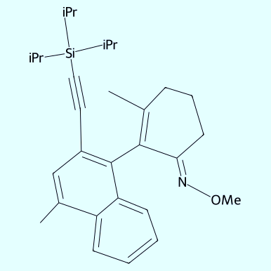 CO/N=C1\CCCC(C)=C1c1c(C#C[Si](C(C)C)(C(C)C)C(C)C)cc(C)c2ccccc12